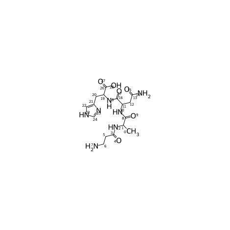 CC(NC(=O)CCN)C(=O)NC(CC(N)=O)C(=O)NC(Cc1c[nH]cn1)C(=O)O